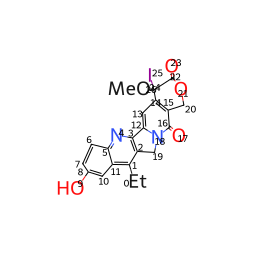 CCc1c2c(nc3ccc(O)cc13)-c1cc3c(c(=O)n1C2)COC(=O)[C@@]3(I)OC